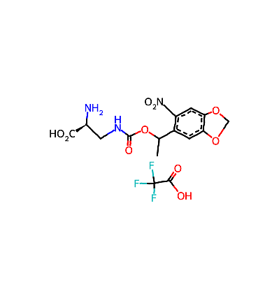 CC(OC(=O)NC[C@H](N)C(=O)O)c1cc2c(cc1[N+](=O)[O-])OCO2.O=C(O)C(F)(F)F